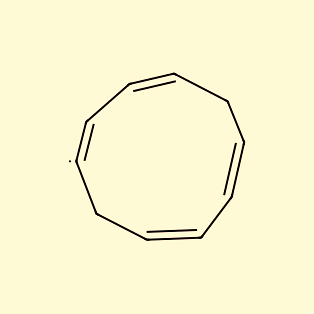 [C]1=C\C=C/C/C=C\C=C/C/1